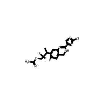 CC(c1cc2c(cc1F)CNC(c1csc(Cl)n1)=N2)C(F)(F)COC(=N)N